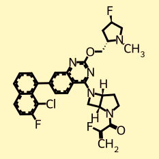 C=C(F)C(=O)N1CC[C@@H]2[C@H]1CN2c1nc(OC[C@@H]2C[C@@H](F)CN2C)nc2cc(-c3cccc4ccc(F)c(Cl)c34)ccc12